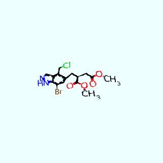 COC(=O)C[C@H](Cc1cc(Br)c2[nH]ncc2c1CCl)C(=O)OC